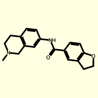 CN1CCc2ccc(NC(=O)c3ccc4c(c3)CCO4)cc2C1